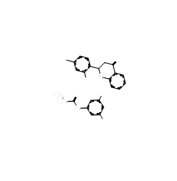 NNC(=O)Nc1cc(Cl)cc(Cl)c1.O=C1CC(c2ccc(Cl)cc2Cl)Nc2ccccc21